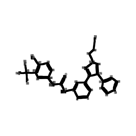 O=C(Nc1cccc(-c2nn(CCF)cc2-c2ccncc2)c1)Nc1ccc(Cl)c(C(F)(F)F)c1